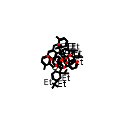 CCC(C)(C)C1(CC)C=CC(OP(OC2C=CC(CC)(C(C)(C)CC)CC2(c2ccccc2Cc2ccccc2C)C(C)(C)CC)OC2C=CC(CC)(C(C)(C)CC)CC2(c2ccccc2Cc2ccccc2C)C(C)(C)CC)C(c2ccccc2Cc2ccccc2C)(C(C)(C)CC)C1